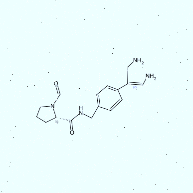 N/C=C(\CN)c1ccc(CNC(=O)[C@@H]2CCCN2C=O)cc1